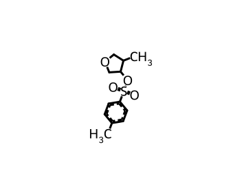 Cc1ccc(S(=O)(=O)OC2COCC2C)cc1